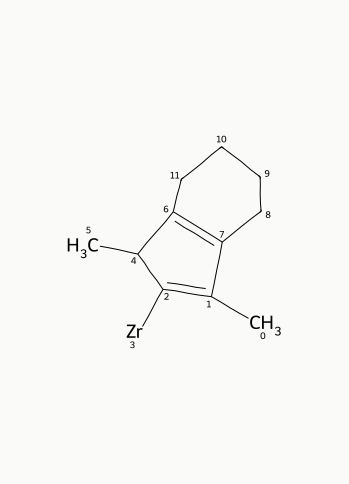 CC1=[C]([Zr])C(C)C2=C1CCCC2